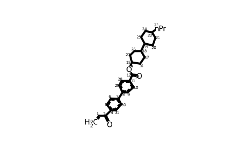 C=CC(=O)c1ccc(-c2ccc(C(=O)OC3CCC(C4CCC(CCC)CC4)CC3)cc2)cc1